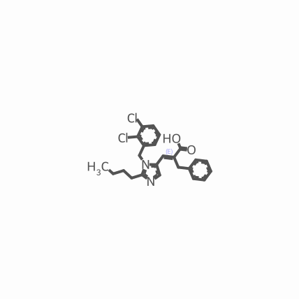 CCCCc1ncc(/C=C(\Cc2ccccc2)C(=O)O)n1Cc1cccc(Cl)c1Cl